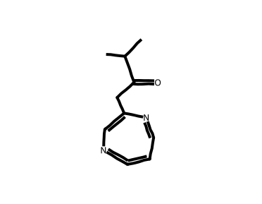 CC(C)C(=O)CC1=CN=C=CC=N1